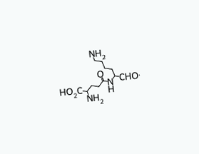 NCCCCC([C]=O)NC(=O)CCC(N)C(=O)O